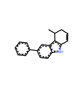 CC1CC=Cc2[nH]c3ccc(-c4ccccc4)cc3c21